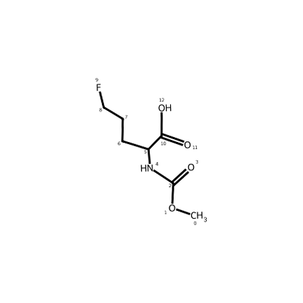 COC(=O)NC(CCCF)C(=O)O